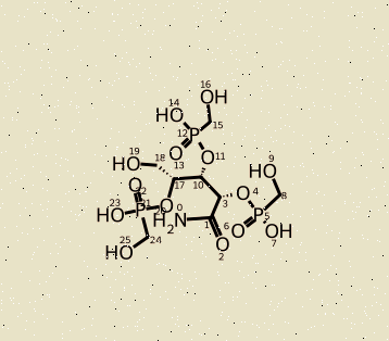 NC(=O)[C@@H](OP(=O)(O)CO)[C@@H](OP(=O)(O)CO)[C@@H](CO)OP(=O)(O)CO